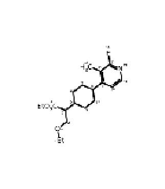 CCOCC(C(=O)OCC)C1CCC(c2ccnc(F)c2C)CC1